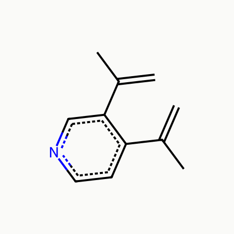 C=C(C)c1ccncc1C(=C)C